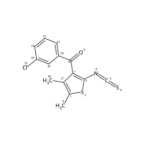 Cc1sc(N=C=S)c(C(=O)c2cccc(Cl)c2)c1C